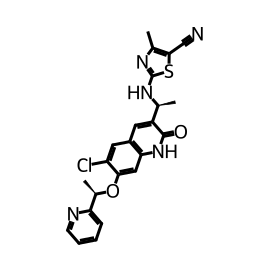 Cc1nc(N[C@@H](C)c2cc3cc(Cl)c(O[C@H](C)c4ccccn4)cc3[nH]c2=O)sc1C#N